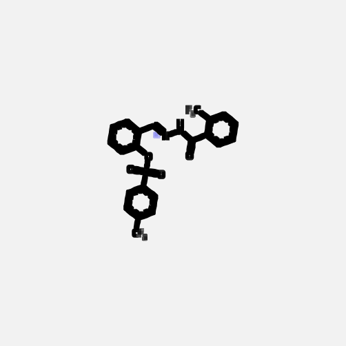 O=C(N/N=C/c1ccccc1OS(=O)(=O)c1ccc(C(F)(F)F)cc1)c1ccccc1C(F)(F)F